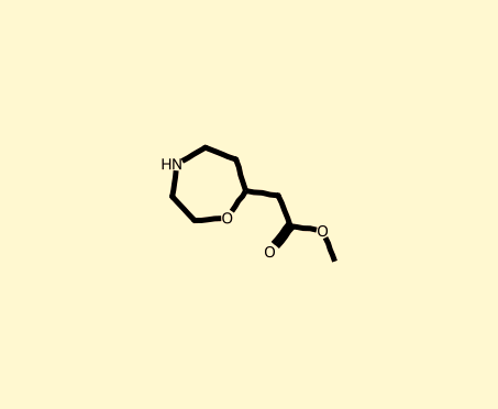 COC(=O)CC1CCNCCO1